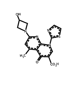 Cc1cc(N2CC(O)C2)nc2c1c(=O)c(C(=O)O)cn2-c1nccs1